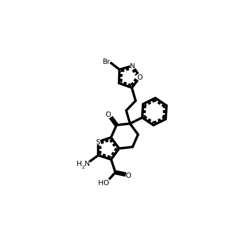 Nc1sc2c(c1C(=O)O)CCC(CCc1cc(Br)no1)(c1ccccc1)C2=O